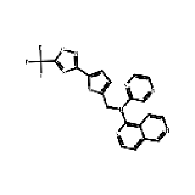 FC(F)(F)c1nc(-c2ccc(CN(c3cnccn3)c3nccc4cnccc34)s2)no1